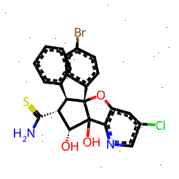 NC(=S)[C@H]1[C@@H](O)C2(O)c3ncc(Cl)cc3O[C@@]2(c2ccc(Br)cc2)[C@@H]1c1ccccc1